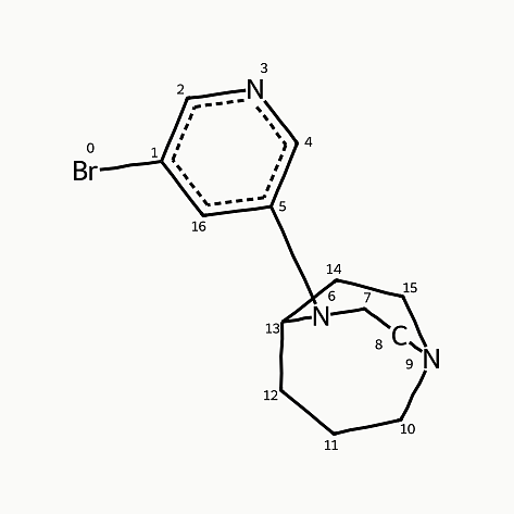 Brc1cncc(N2CCN3CCCC2CC3)c1